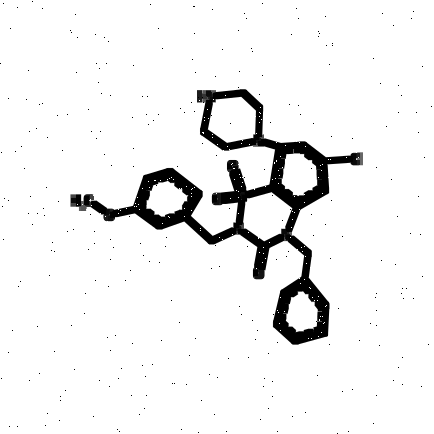 COc1cccc(CN2C(=O)N(Cc3ccccc3)c3cc(Cl)cc(N4CCNCC4)c3S2(=O)=O)c1